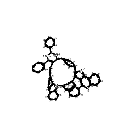 c1ccc(C2=C3c4ccc5c(c4)c4ccccc4n5-c4cccc(c4)-c4c(sc5c4c(-c4ccccc4)nc4ccccc45)-c4ccc(cc4)C3NC(c3ccccc3)N2)cc1